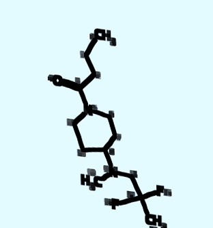 CCCC(=O)N1CCC(N(C)CC(C)(F)F)CC1